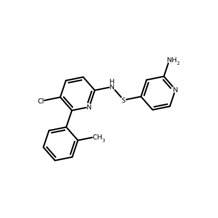 Cc1ccccc1-c1nc(NSc2ccnc(N)c2)ccc1Cl